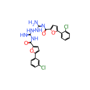 N=C(NNC(N)=NC(=O)c1ccc(-c2ccccc2Cl)o1)NC(=O)c1ccc(-c2cccc(Cl)c2)o1